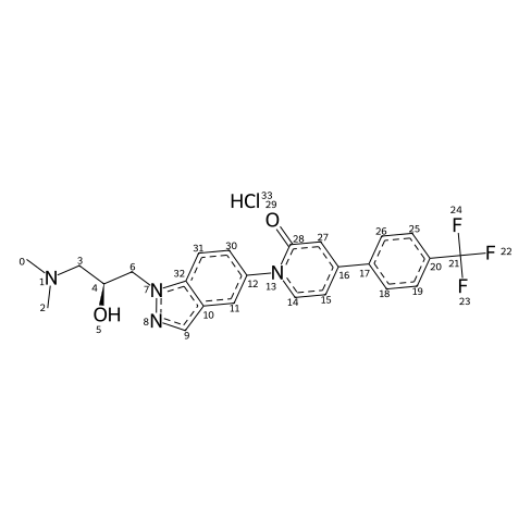 CN(C)C[C@H](O)Cn1ncc2cc(-n3ccc(-c4ccc(C(F)(F)F)cc4)cc3=O)ccc21.Cl